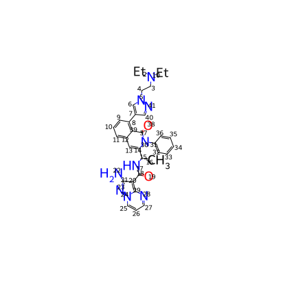 CCN(CC)CCn1cc(-c2cccc3cc([C@@H](C)NC(=O)c4c(N)nn5cccnc45)n(-c4ccccc4)c(=O)c23)cn1